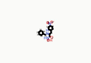 O=C(NO)C(Cc1ccc([N+](=O)[O-])cc1)NCc1ccccc1